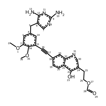 COc1cc(Cc2cnc(N)nc2N)cc(C#Cc2ccc3c(O)c(CCOC=O)cnc3c2)c1OC